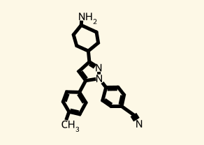 Cc1ccc(-c2cc(C3CCC(N)CC3)nn2-c2ccc(C#N)cc2)cc1